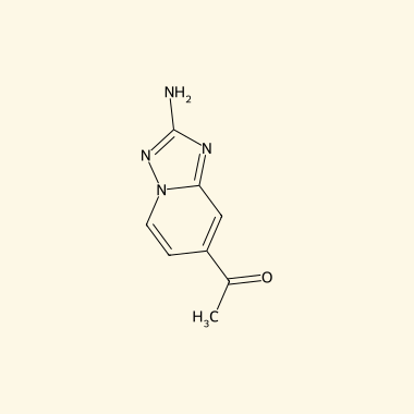 CC(=O)c1ccn2nc(N)nc2c1